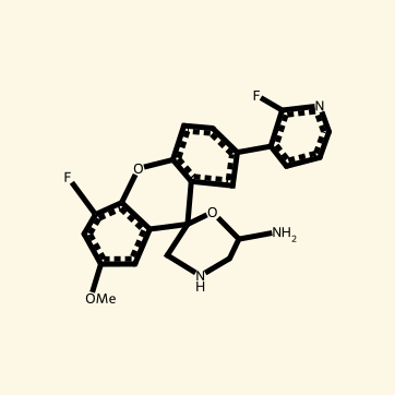 COc1cc(F)c2c(c1)C1(CNCC(N)O1)c1cc(-c3cccnc3F)ccc1O2